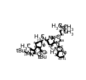 Cc1cc(N(C)c2ccc(-c3cnn(CC(C)(C)C)c3C)c(C(=O)OC(C)(C)C)n2)nnc1N(COCC[Si](C)(C)C)c1nc2cccnc2s1